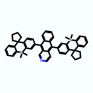 C[Si]1(C)c2ccccc2C2(CCCC2)c2ccc(-c3c4ccccc4c(-c4ccc5c(c4)[Si](C)(C)c4ccccc4C54CCCC4)c4cnccc34)cc21